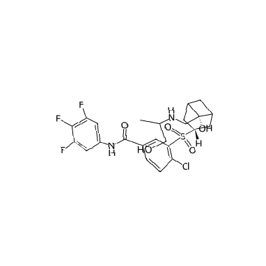 CC(CO)NC[C@]1(O)C2CC1C[C@@H](S(=O)(=O)c1cc(C(=O)Nc3cc(F)c(F)c(F)c3)ccc1Cl)C2